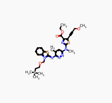 CCOC(=O)c1nc(N(C)c2cc(C)c(/N=c3\sc4ccccc4n3COCC[Si](C)(C)C)nn2)sc1C#CCOC